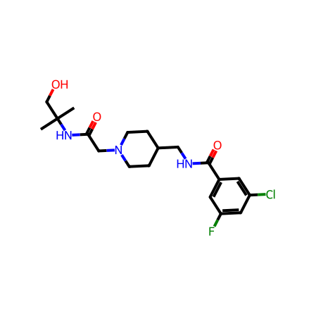 CC(C)(CO)NC(=O)CN1CCC(CNC(=O)c2cc(F)cc(Cl)c2)CC1